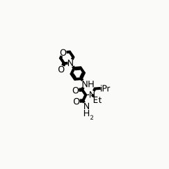 CCN(CC(C)C)[C@H](C(N)=O)C(=O)Nc1ccc(N2CCOCC2=O)cc1